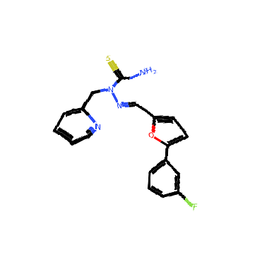 NC(=S)N(Cc1ccccn1)N=Cc1ccc(-c2cccc(F)c2)o1